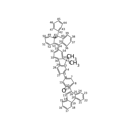 CC1(C)c2cc(-c3ccc4c(c3)oc3c5ccccc5c5ccccc5c43)ccc2-c2ccc(-c3c4ccccc4c(-c4ccccc4)c4ccccc34)cc21